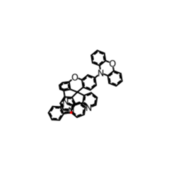 c1ccc2c(c1)Oc1ccccc1N2c1ccc2c(c1)Oc1cccc(-n3c4ccccc4c4ccccc43)c1C21c2cccnc2-c2ncccc21